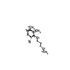 COCCCOc1ccnc(C)c1C.[N]